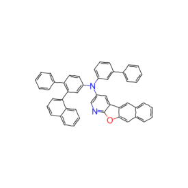 c1ccc(-c2cccc(N(c3ccc(-c4ccccc4)c(-c4cccc5ccccc45)c3)c3cnc4oc5cc6ccccc6cc5c4c3)c2)cc1